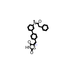 CN(C(=O)Cc1ccccc1)c1cccc(-c2ccc(/C=C3/SC(=O)NC3=O)cc2)c1